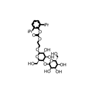 CC(C)c1cccc(C(C)C)c1OC(=O)OCCO[C@@H]1O[C@H](CO)[C@@H](O[C@H]2O[C@H](CO)[C@@H](O)[C@H](O)[C@H]2O)[C@H](O)[C@H]1O